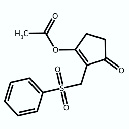 CC(=O)OC1=C(CS(=O)(=O)c2ccccc2)C(=O)CC1